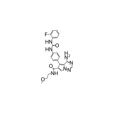 COCCNC(=O)c1cn2ncnc(N)c2c1-c1ccc(NC(=O)Nc2ccccc2F)cc1